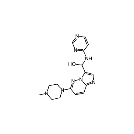 CN1CCN(c2ccc3ncc(C(O)Nc4ccncn4)n3n2)CC1